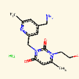 Cc1cc(=O)n(Cc2cc(CN)cc(C(F)(F)F)n2)c(=O)n1CCO.Cl